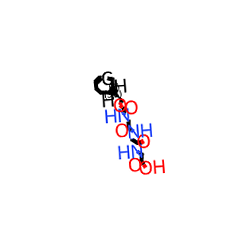 O=C(O)CNC(=O)CNC(=O)CNC(=O)OC[C@@H]1[C@@H]2CCC#CCC[C@@H]21